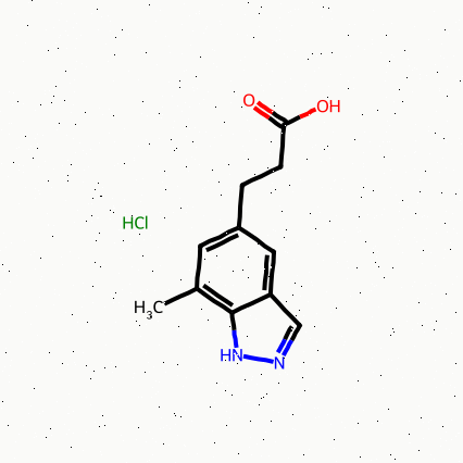 Cc1cc(CCC(=O)O)cc2cn[nH]c12.Cl